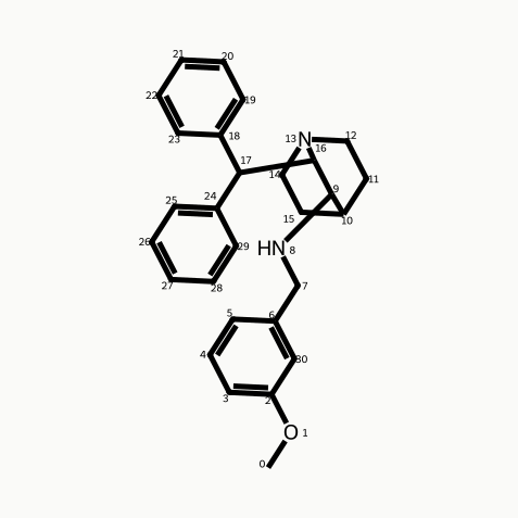 COc1cccc(CNC2C3CCN(CC3)C2C(c2ccccc2)c2ccccc2)c1